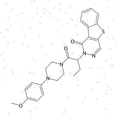 CCC(C(=O)N1CCN(c2ccc(OC)cc2)CC1)n1ncc2sc3ccccc3c2c1=O